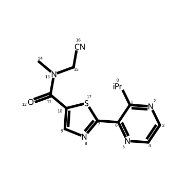 CC(C)c1nccnc1-c1ncc(C(=O)N(C)CC#N)s1